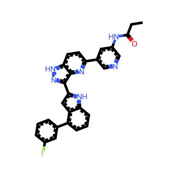 CCC(=O)Nc1cncc(-c2ccc3[nH]nc(-c4cc5c(-c6cccc(F)c6)cccc5[nH]4)c3n2)c1